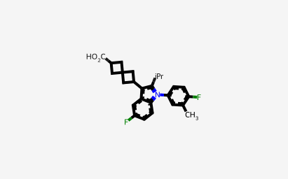 Cc1cc(-n2c(C(C)C)c(C3CC4(CC(C(=O)O)C4)C3)c3cc(F)ccc32)ccc1F